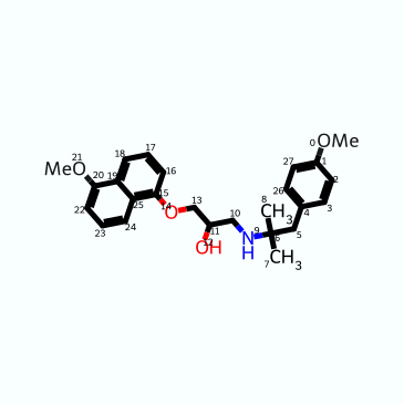 COc1ccc(CC(C)(C)NCC(O)COc2cccc3c(OC)cccc23)cc1